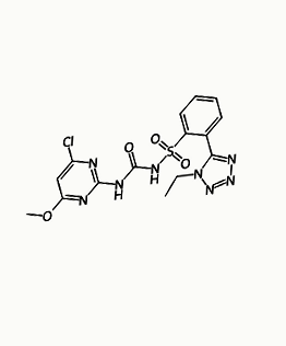 CCn1nnnc1-c1ccccc1S(=O)(=O)NC(=O)Nc1nc(Cl)cc(OC)n1